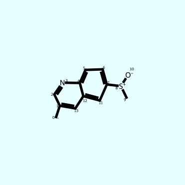 [CH2]c1cnc2ccc([S+](C)[O-])cc2c1